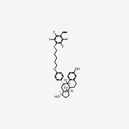 C=Cc1c(F)c(F)c(SCCCCCOc2ccc([C@H]3C[C@]4(C)[C@@H](O)CC[C@H]4[C@@H]4CCc5cc(O)ccc5[C@H]43)cc2)c(F)c1F